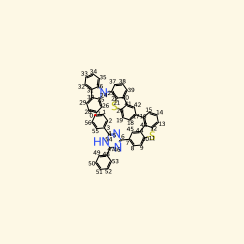 c1ccc(C2=NC(c3ccc4sc5cccc(-c6ccc7sc8c(-n9c%10ccccc%10c%10ccccc%109)cccc8c7c6)c5c4c3)=NC(c3ccccc3)N2)cc1